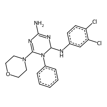 NC1=NC(Nc2ccc(Cl)c(Cl)c2)N(c2ccccc2)C(N2CCOCC2)=N1